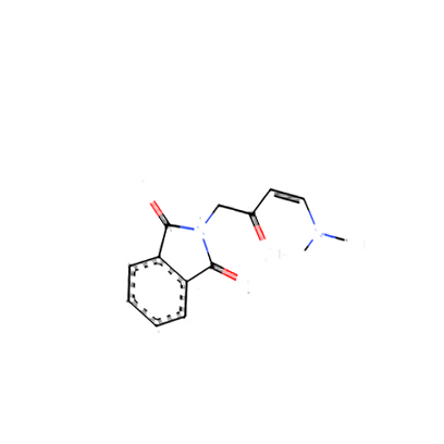 CN(C)/C=C\C(=O)CN1C(=O)c2ccccc2C1=O